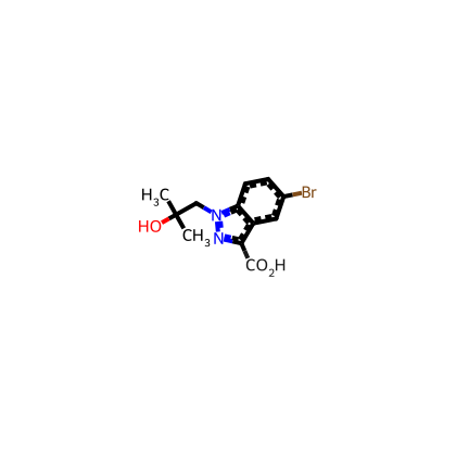 CC(C)(O)Cn1nc(C(=O)O)c2cc(Br)ccc21